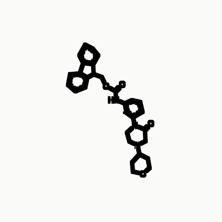 O=C(Nc1[c]c(N2CCN(C3CCOCC3)CC2=O)ccc1)OCC1c2ccccc2-c2ccccc21